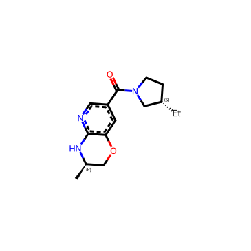 CC[C@H]1CCN(C(=O)c2cnc3c(c2)OC[C@@H](C)N3)C1